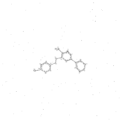 Nc1ncc(-c2cncnc2)cc1OCc1ccc(Cl)cc1